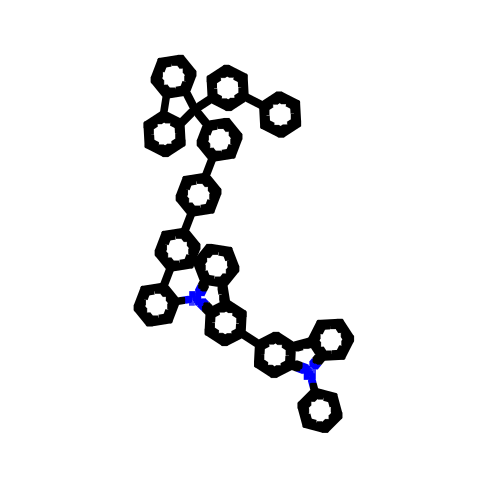 c1ccc(-c2cccc(C3(c4cccc(-c5ccc(-c6ccc(-c7ccccc7-n7c8ccccc8c8cc(-c9ccc%10c(c9)c9ccccc9n%10-c9ccccc9)ccc87)cc6)cc5)c4)c4ccccc4-c4ccccc43)c2)cc1